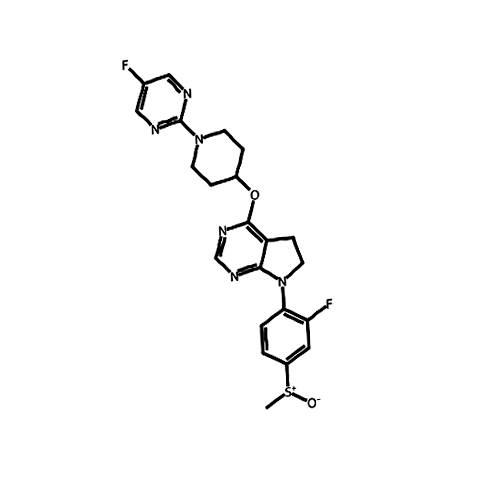 C[S+]([O-])c1ccc(N2CCc3c(OC4CCN(c5ncc(F)cn5)CC4)ncnc32)c(F)c1